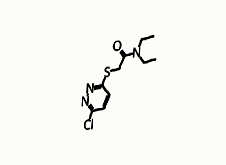 CCN(CC)C(=O)CSc1ccc(Cl)nn1